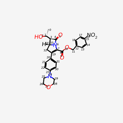 C[C@@H](O)[C@H]1C(=O)N2C(C(=O)OCc3ccc([N+](=O)[O-])cc3)=C(c3ccc(N4CCOCC4)cc3)C[C@H]12